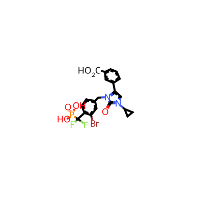 O=C(O)c1cccc(-c2cn(C3CC3)c(=O)n2Cc2ccc(C(F)(F)P(=O)(O)O)c(Br)c2)c1